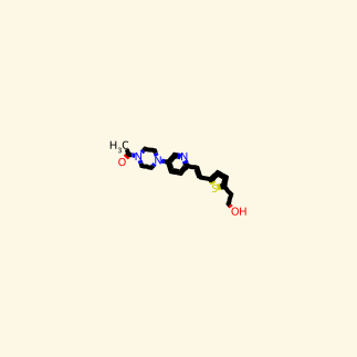 CC(=O)N1CCN(c2ccc(C=Cc3ccc(CCO)s3)nc2)CC1